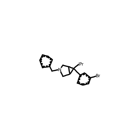 CC(C)C1(c2cccc(Br)c2)C2CN(Cc3ccccc3)CC21